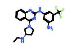 CCN[C@H]1CCN(c2nc(Nc3cc(N)cc(C(F)(F)F)c3)nc3ccccc23)C1